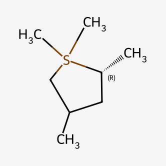 CC1C[C@@H](C)S(C)(C)C1